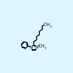 CCCCCCCCc1n(-c2ccccc2)cc[n+]1C